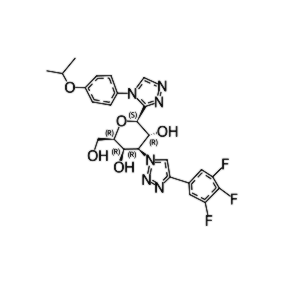 CC(C)Oc1ccc(-n2cnnc2[C@@H]2O[C@H](CO)[C@H](O)[C@H](n3cc(-c4cc(F)c(F)c(F)c4)nn3)[C@H]2O)cc1